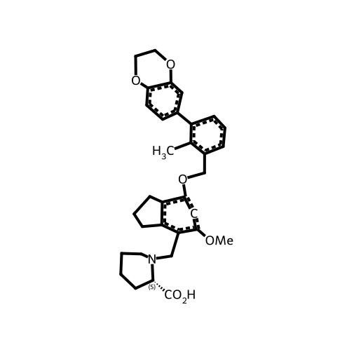 COc1cc(OCc2cccc(-c3ccc4c(c3)OCCO4)c2C)c2c(c1CN1CCCC[C@H]1C(=O)O)CCC2